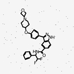 O=C(NC(c1ccccc1)C(F)F)c1ccc2[nH]nc(-c3ccc(OC4CCN(C5COC5)CC4)cc3)c2c1